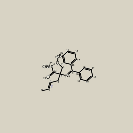 C/C=C/CC(COC(C)(C)C)(N=C(c1ccccc1)c1ccccc1)C(=O)OC